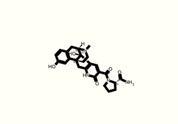 CN1CC[C@]23Cc4[nH]c(=O)c(C(=O)N5CCC[C@H]5C(N)=O)cc4C[C@@]2(O)[C@H]1Cc1ccc(O)cc13